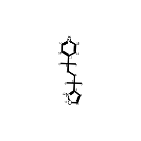 CC(C)(CCC(C)(C)c1ccon1)c1ccncc1